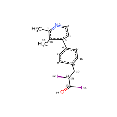 Cc1nccc(-c2ccc(C[C@H](I)C(=O)I)cc2)c1C